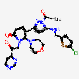 CC(C)(C)C(=O)n1nc(-c2ccc(=O)n(CC(=O)c3ccncn3)c2N2CCOCC2)cc1NCc1ccc(Cl)s1